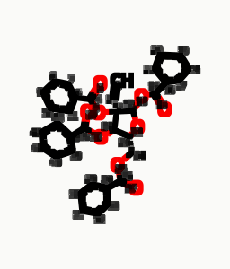 C#C[C@]1(OC(=O)c2ccccc2)[C@@H](OC(=O)c2ccccc2)O[C@H](COC(=O)c2ccccc2)[C@H]1OC(=O)c1ccccc1